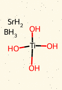 B.[OH][Ti]([OH])([OH])[OH].[SrH2]